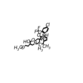 COCCC(CN1CCC(C(=O)Nc2ccc(Cl)cc2OC(F)F)(n2nccc2C(C)C)CC1)C(=O)O